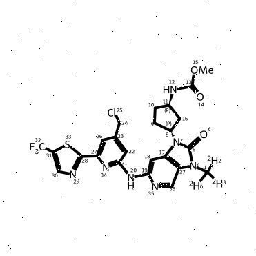 [2H]C([2H])([2H])n1c(=O)n([C@@H]2CC[C@@H](NC(=O)OC)C2)c2cc(Nc3cc(CCl)cc(-c4ncc(C(F)(F)F)s4)n3)ncc21